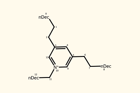 CCCCCCCCCCCCc1cc(CCCCCCCCCCCC)c[n+](CCCCCCCCCCC)c1